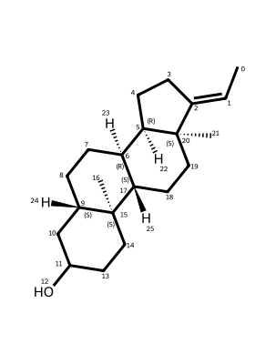 CC=C1CC[C@@H]2[C@@H]3CC[C@H]4CC(O)CC[C@]4(C)[C@H]3CC[C@]12C